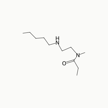 CCCCCNCCN(C)C(=O)CC